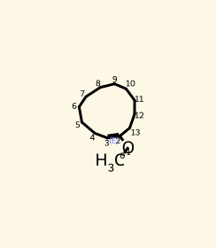 CO/C1=C/CCCCCCCCCC1